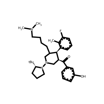 Cc1c(F)cccc1[C@@H]1[C](CCCCN(C)C)CN(N2CCC[C@@H]2C(C)(C)C)C[C@@H]1C(=O)c1cccc(O)c1